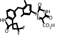 Cc1cc(-n2nc(C(=O)O)c(=O)[nH]c2=O)cc(C)c1Cc1ccc2c(c1)C1(CC(F)(F)C1)C(=O)N2